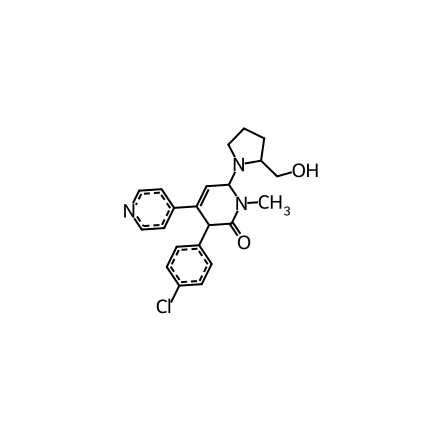 CN1C(=O)C(c2ccc(Cl)cc2)C(c2ccncc2)=CC1N1CCCC1CO